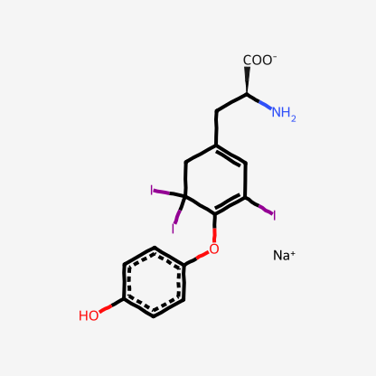 N[C@@H](CC1=CC(I)=C(Oc2ccc(O)cc2)C(I)(I)C1)C(=O)[O-].[Na+]